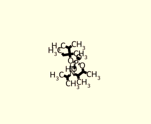 CCC(C)(OP(=O)(O)OC(C)C(C)NC(C)C)C(C)C